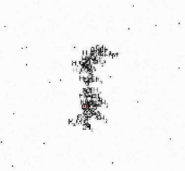 C=CC(=O)OCC(COCC(COC(=O)C=C)(COC(=O)C=C)COC(=O)NC1(C)CC(NC(=O)OC(C)CCOC(=O)OC(C)(C)CCOC(=O)OC(C)(C)CC(C)(C)OC(=O)NC2CC(C)(C)CC(C)(NC(=O)C(C)C(C)OCCCCCCC)C2)CC(C)(C)C1)(COC(=O)C=C)COC(=O)C=C